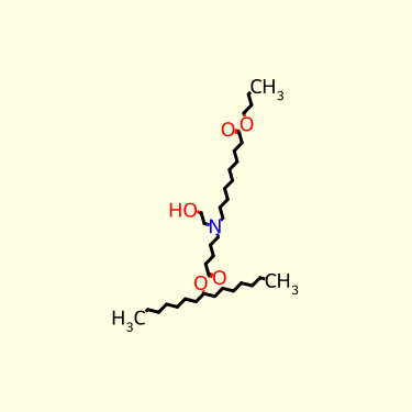 CCCCCCCC(CCCCCCC)OC(=O)CCCCN(CCO)CCCCCCCCCC(=O)OCCCC